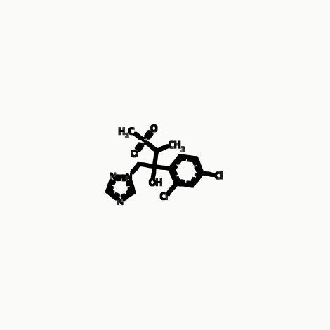 CC(C(O)(Cn1cncn1)c1ccc(Cl)cc1Cl)S(C)(=O)=O